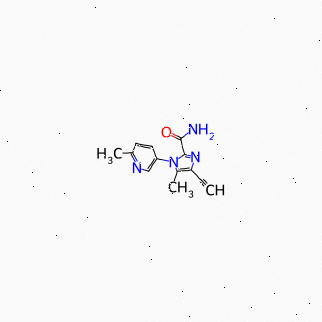 C#Cc1nc(C(N)=O)n(-c2ccc(C)nc2)c1C